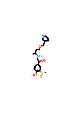 CC(CCOCc1cccnc1)NCC(O)c1ccc(O)c([S+](C)[O-])c1